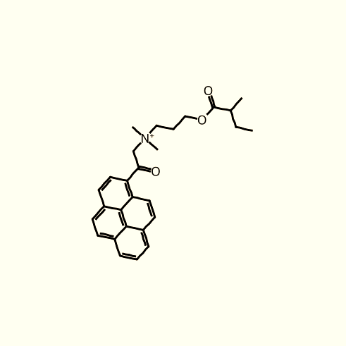 CCC(C)C(=O)OCCC[N+](C)(C)CC(=O)c1ccc2ccc3cccc4ccc1c2c34